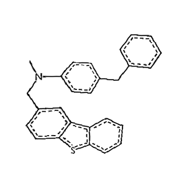 CN(Cc1ccc2sc3ccccc3c2c1)c1ccc(Cc2ccccc2)cc1